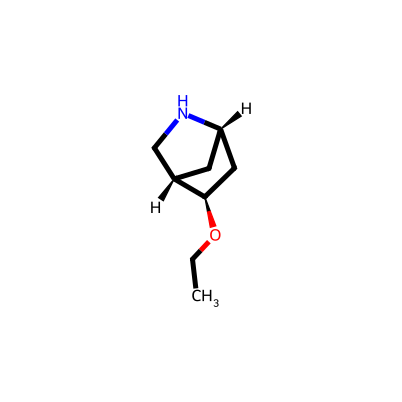 CCO[C@@H]1C[C@@H]2C[C@H]1CN2